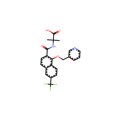 CC(C)(NC(=O)c1ccc2cc(C(F)(F)F)ccc2c1OCc1cccnc1)C(=O)O